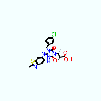 Cc1nc2ccc(/N=c3\[nH]c(=O)n([C@H](C)[C@H](C)C(=O)O)c(=O)n3Cc3ccc(Cl)cc3)cc2s1